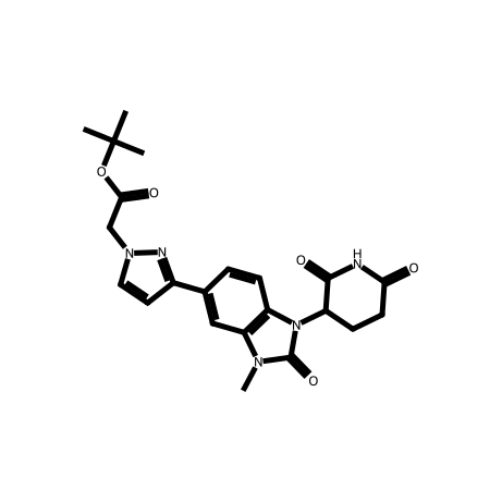 Cn1c(=O)n(C2CCC(=O)NC2=O)c2ccc(-c3ccn(CC(=O)OC(C)(C)C)n3)cc21